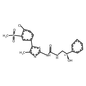 Cc1nc(NC(=O)NC[C@H](O)c2ccccc2)sc1-c1ccc(Cl)c(S(C)(=O)=O)c1